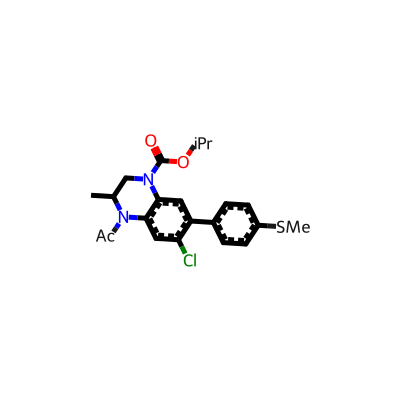 CSc1ccc(-c2cc3c(cc2Cl)N(C(C)=O)C(C)CN3C(=O)OC(C)C)cc1